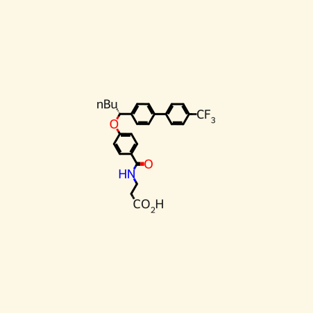 CCCC[C@@H](Oc1ccc(C(=O)NCCC(=O)O)cc1)c1ccc(-c2ccc(C(F)(F)F)cc2)cc1